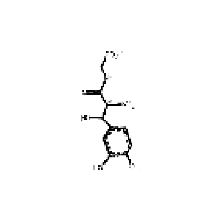 N[C@H](C(=O)NCC(=O)O)C(O)c1ccc(O)c(O)c1